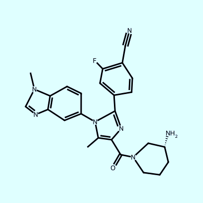 Cc1c(C(=O)N2CCC[C@@H](N)C2)nc(-c2ccc(C#N)c(F)c2)n1-c1ccc2c(c1)ncn2C